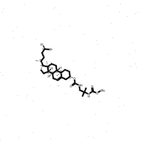 CC[C@H](CC[C@@H](C)[C@H]1CC[C@H]2[C@@H]3CC=C4C[C@@H](OC(=O)NCC(C)(C)NC(=O)OC(C)(C)C)CC[C@]4(C)[C@H]3CC[C@]12C)C(C)C